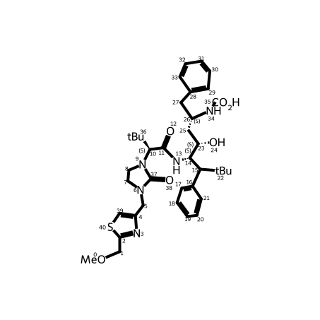 COCc1nc(CN2CCN([C@H](C(=O)N[C@@H](C(c3ccccc3)C(C)(C)C)[C@@H](O)C[C@H](Cc3ccccc3)NC(=O)O)C(C)(C)C)C2=O)cs1